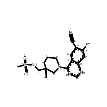 CC1(CNS(C)(=O)=O)CCCN(c2ncnc3cc(F)c(C#N)cc23)C1